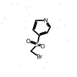 O=S(=O)(CBr)c1ccncc1